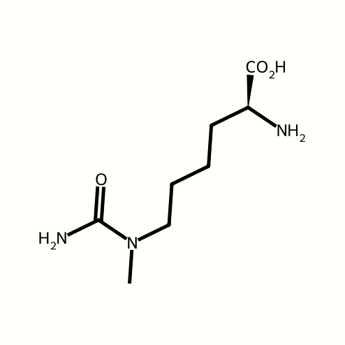 CN(CCCC[C@H](N)C(=O)O)C(N)=O